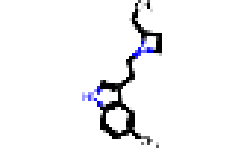 CCC1CCN1CCc1c[nH]c2ccc(C)cc12